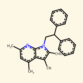 Cc1cc(C)c2c(C#N)c(C=O)n(CC(c3ccccc3)c3ccccc3)c2n1